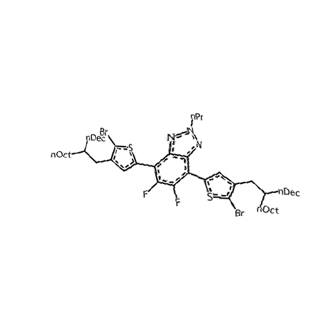 CCCCCCCCCCC(CCCCCCCC)Cc1cc(-c2c(F)c(F)c(-c3cc(CC(CCCCCCCC)CCCCCCCCCC)c(Br)s3)c3nn(CCC)nc23)sc1Br